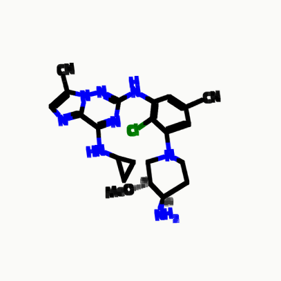 CO[C@@H]1CN(c2cc(C#N)cc(Nc3nc(NC4CC4)c4ncc(C#N)n4n3)c2Cl)CC[C@H]1N